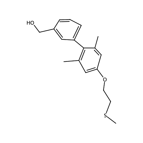 CSCCOc1cc(C)c(-c2cccc(CO)c2)c(C)c1